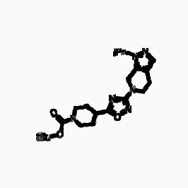 CC(C)n1ncc2c1CN(c1noc(C3CCN(C(=O)OC(C)(C)C)CC3)n1)CC2